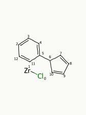 [Cl][Zr].[c]1ccc(C2C=CC=C2)cc1